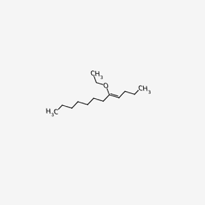 CCCC=C(CCCCCCC)OCC